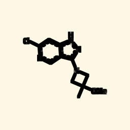 COC1(C)CN(c2n[nH]c3cc(Cl)ncc23)C1